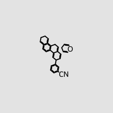 C1=COC=CC1.N#Cc1cccc(C2C=CC3=CCc4c(ccc5c4=CCCC=5)C3=C2)c1